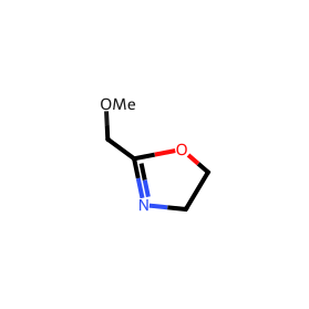 COCC1=NCCO1